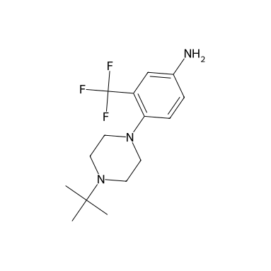 CC(C)(C)N1CCN(c2ccc(N)cc2C(F)(F)F)CC1